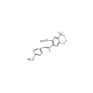 COc1cc2c(cc1C(C)=Cc1ccc(C(=O)O)cc1)SCCC2(C)C